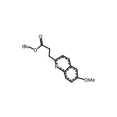 COc1ccc2nc(CCC(=O)OC(C)(C)C)ccc2c1